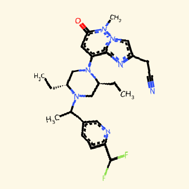 CC[C@H]1CN(C(C)c2ccc(C(F)F)nc2)[C@H](CC)CN1c1cc(=O)n(C)n2cc(CC#N)nc12